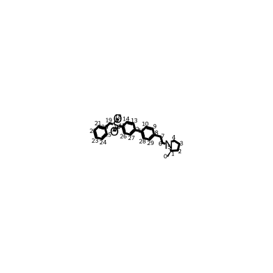 C[C@@H]1CCCN1CCc1ccc(-c2ccc(S(=O)(=O)Cc3ccccc3)cc2)cc1